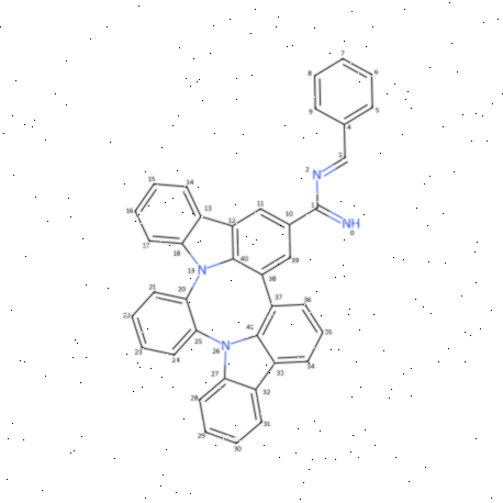 N=C(/N=C/c1ccccc1)c1cc2c3ccccc3n3c4ccccc4n4c5ccccc5c5cccc(c(c1)c23)c54